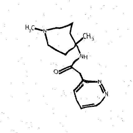 CN1CCC(C)(NC(=O)c2cccnn2)CC1